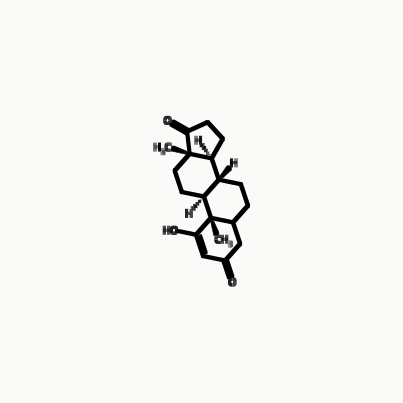 C[C@]12C(O)=CC(=O)CC1CC[C@@H]1[C@@H]2CC[C@]2(C)C(=O)CC[C@@H]12